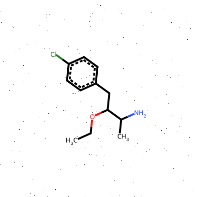 CCOC(Cc1ccc(Cl)cc1)C(C)N